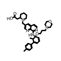 Cc1ccc(C2=CC=CC(Nc3nccc4cc(CN5CCCCC5CC(=O)O)cnc34)(OCCCN3CCOCC3)C2C)cc1